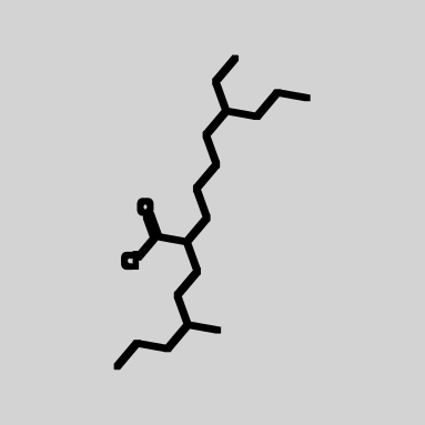 CCCC(C)CCC(CCCCC(CC)CCC)C(=O)Cl